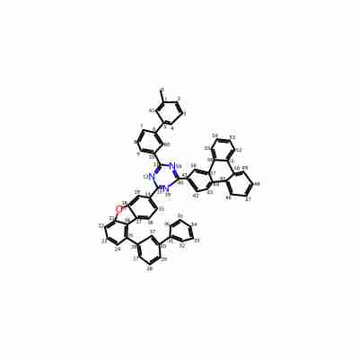 Cc1cccc(-c2cccc(-c3nc(-c4ccc5c(c4)oc4cccc(-c6cccc(-c7ccccc7)c6)c45)nc(-c4ccc5c6ccccc6c6ccccc6c5c4)n3)c2)c1